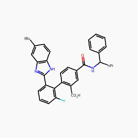 CCCC(NC(=O)c1ccc(-c2c(F)cccc2-c2nc3cc(C(C)(C)C)ccc3[nH]2)c(C(=O)O)c1)c1ccccc1